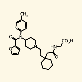 Cc1ccc(N(C(=O)c2ccco2)C2CCN(CCC3(CC(=O)NCC(=O)O)CCCCC3)CC2)nc1